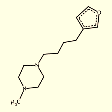 CN1CCN(CCCCc2ccoc2)CC1